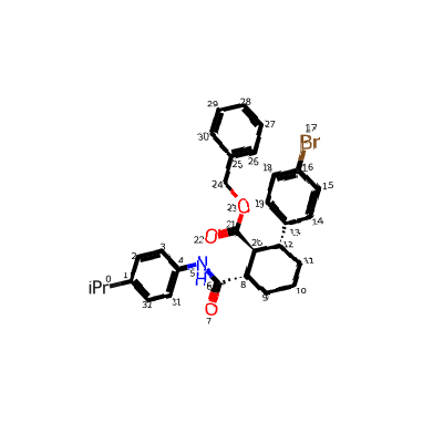 CC(C)c1ccc(NC(=O)[C@H]2CCC[C@@H](c3ccc(Br)cc3)[C@@H]2C(=O)OCc2ccccc2)cc1